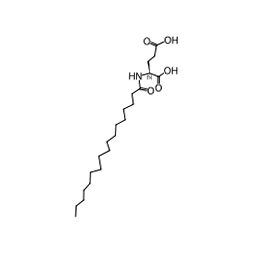 CCCCCCCCCCCCCCCCC(=O)N[C@@H](CCC(=O)O)C(=O)O